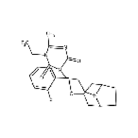 Cc1nc(=O)n(CCCN2C3CCC2CC(OCc2ccccc2F)C3)c(=O)n1CC(F)(F)F